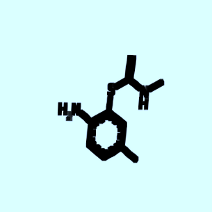 C=C(NC)Sc1cc(C)ccc1N